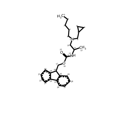 CCCCCN(CC1CC1)CC(C)NC(=O)OCC1c2ccccc2-c2ccccc21